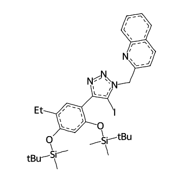 CCc1cc(-c2nnn(Cc3ccc4ccccc4n3)c2I)c(O[Si](C)(C)C(C)(C)C)cc1O[Si](C)(C)C(C)(C)C